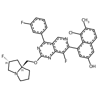 Cc1ccc2cc(O)cc(-c3ncc4c(-c5cccc(F)c5)nc(OC[C@@]56CCCN5C[C@H](F)C6)nc4c3F)c2c1Cl